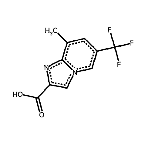 Cc1cc(C(F)(F)F)cn2cc(C(=O)O)nc12